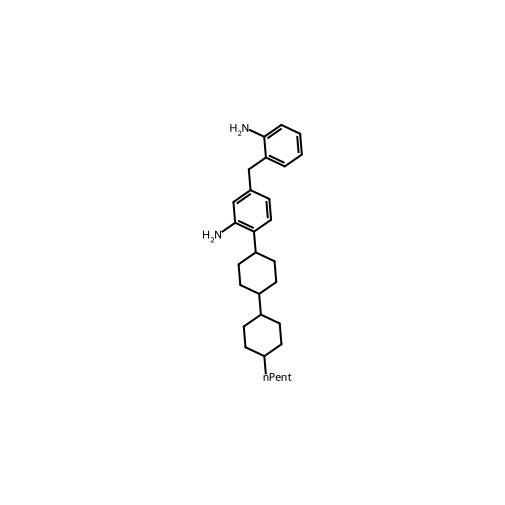 CCCCCC1CCC(C2CCC(c3ccc(Cc4ccccc4N)cc3N)CC2)CC1